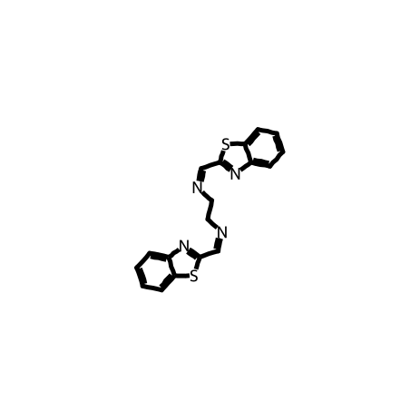 C(=N/CC/N=C\c1nc2ccccc2s1)/c1nc2ccccc2s1